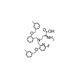 Cc1cccc(COc2ccccc2CN(CC[C@H](N)C(=O)O)Cc2nc(F)ccc2OCc2cccc(C)c2)c1